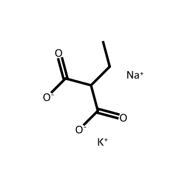 CCC(C(=O)[O-])C(=O)[O-].[K+].[Na+]